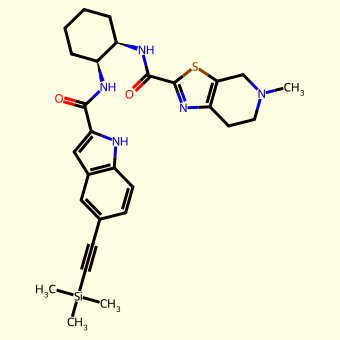 CN1CCc2nc(C(=O)N[C@@H]3CCCC[C@@H]3NC(=O)c3cc4cc(C#C[Si](C)(C)C)ccc4[nH]3)sc2C1